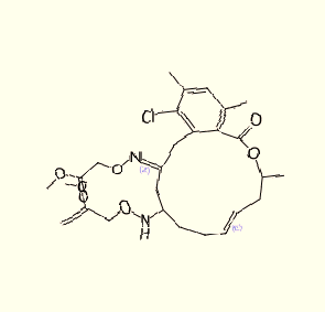 C=C(CONC1CC/C=C/CC(C)OC(=O)c2c(C)cc(C)c(Cl)c2C/C(=N/OCC(=O)OC)C1)OC